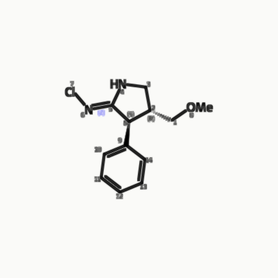 COC[C@H]1CN/C(=N\Cl)[C@@H]1c1ccccc1